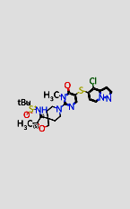 C[C@@H]1OCC2(CCN(c3ncc(Sc4ccn5nccc5c4Cl)c(=O)n3C)CC2)[C@@H]1N[S+]([O-])C(C)(C)C